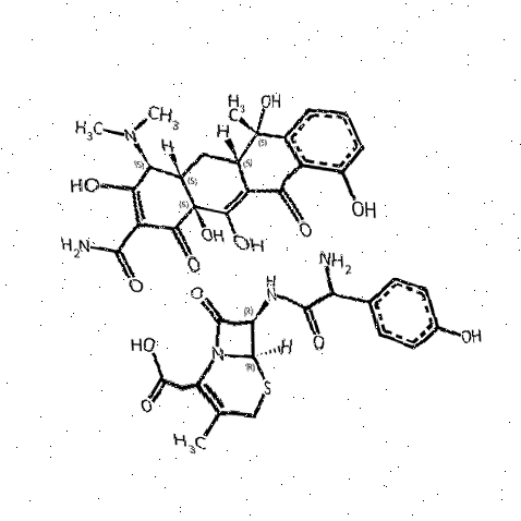 CC1=C(C(=O)O)N2C(=O)[C@@H](NC(=O)C(N)c3ccc(O)cc3)[C@H]2SC1.CN(C)[C@@H]1C(O)=C(C(N)=O)C(=O)[C@@]2(O)C(O)=C3C(=O)c4c(O)cccc4[C@@](C)(O)[C@H]3C[C@@H]12